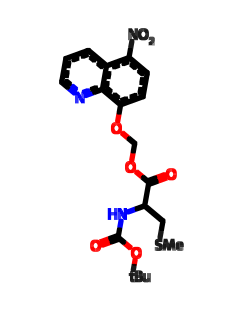 CSCC(NC(=O)OC(C)(C)C)C(=O)OCOc1ccc([N+](=O)[O-])c2cccnc12